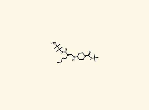 CC/N=C/C(BOC(C)(C)C(C)(C)O)=C\NC1CCN(C(=O)OC(C)(C)C)CC1